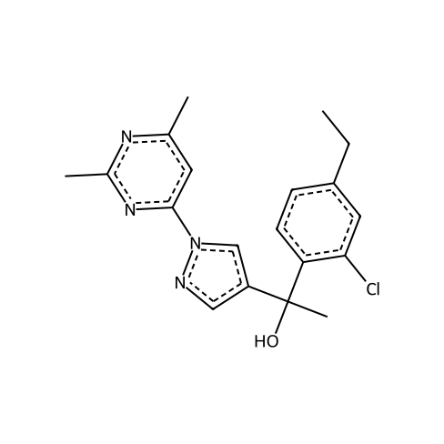 CCc1ccc(C(C)(O)c2cnn(-c3cc(C)nc(C)n3)c2)c(Cl)c1